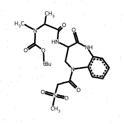 CC(C(=O)NC1CN(C(=O)CS(C)(=O)=O)c2ccccc2NC1=O)N(C)C(=O)OC(C)(C)C